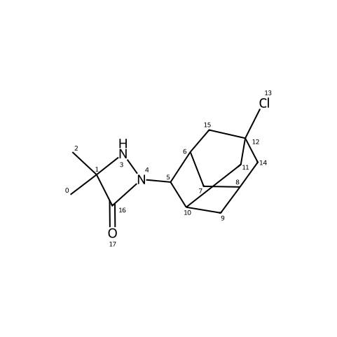 CC1(C)NN(C2C3CC4CC2CC(Cl)(C4)C3)C1=O